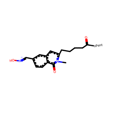 CCCCCC(=O)CCCCc1cc2cc(/C=N/O)ccc2c(=O)n1C